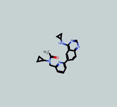 CC(=O)N(Cc1cccc(-c2ccc3ncnc(NC4CC4)c3c2)n1)C1CC1